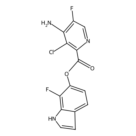 Nc1c(F)cnc(C(=O)Oc2ccc3cc[nH]c3c2F)c1Cl